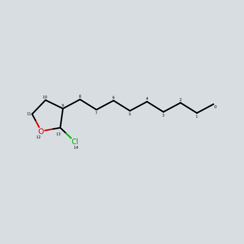 CCCCCCCCCC1CCOC1Cl